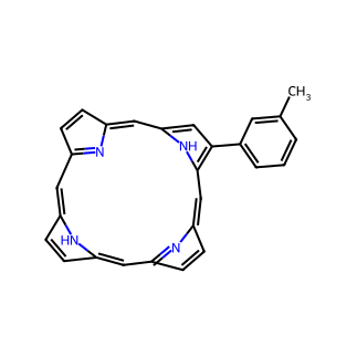 Cc1cccc(-c2cc3cc4nc(cc5ccc(cc6nc(cc2[nH]3)C=C6)[nH]5)C=C4)c1